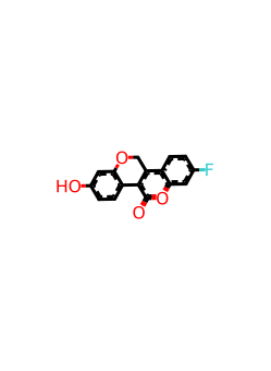 O=c1oc2cc(F)ccc2c2c1-c1ccc(O)cc1OC2